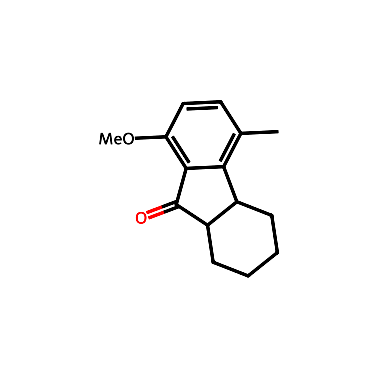 COc1ccc(C)c2c1C(=O)C1CCCCC21